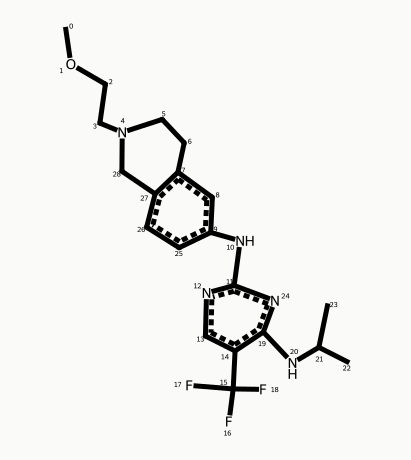 COCCN1CCc2cc(Nc3ncc(C(F)(F)F)c(NC(C)C)n3)ccc2C1